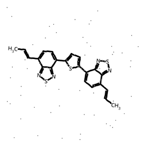 C/C=C/c1ccc(-c2ccc(-c3ccc(/C=C/C)c4nsnc34)s2)c2nsnc12